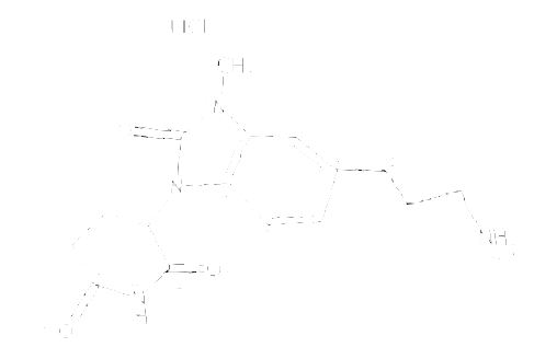 Cl.Cn1c(=O)n(C2CCC(=O)NC2=O)c2ccc(CCCN)cc21